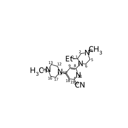 CC[C@H]1CN(C)CCN1c1cc(N2CCN(C)CC2)cc(C#N)n1